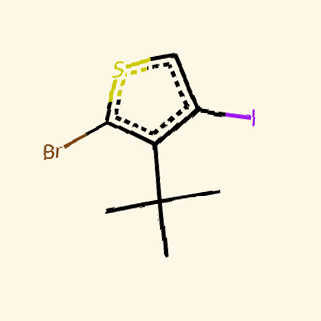 CC(C)(C)c1c(I)csc1Br